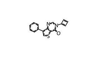 O=c1c2scc(-c3ccccc3)c2ncn1C1=CC=C1